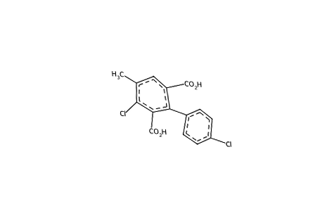 Cc1cc(C(=O)O)c(-c2ccc(Cl)cc2)c(C(=O)O)c1Cl